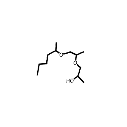 CCCCC(C)OCC(C)OCC(C)O